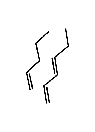 C=CC=CCC.C=CCCC